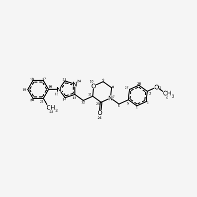 COc1ccc(CN2CCOC(Cc3cn(-c4ccccc4C)cn3)C2=O)cc1